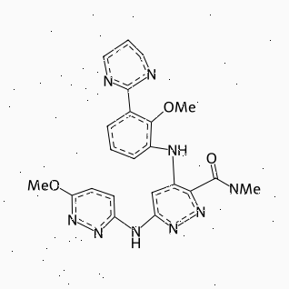 CNC(=O)c1nnc(Nc2ccc(OC)nn2)cc1Nc1cccc(-c2ncccn2)c1OC